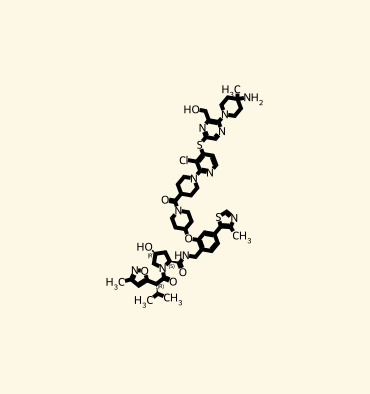 Cc1cc([C@H](C(=O)N2C[C@H](O)C[C@H]2C(=O)NCc2ccc(-c3scnc3C)cc2OC2CCN(C(=O)C3CCN(c4nccc(Sc5cnc(N6CCC(C)(N)CC6)c(CO)n5)c4Cl)CC3)CC2)C(C)C)on1